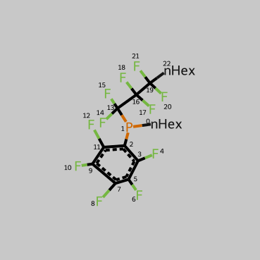 CCCCCCP(c1c(F)c(F)c(F)c(F)c1F)C(F)(F)C(F)(F)C(F)(F)CCCCCC